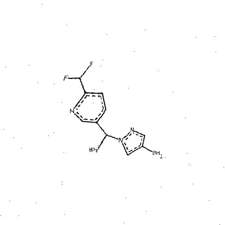 Bc1cnn(C(c2ccc(C(F)F)nc2)C(C)C)c1